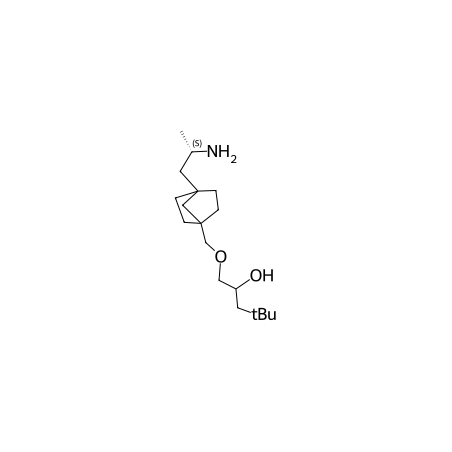 C[C@H](N)CC12CCC(COCC(O)CC(C)(C)C)(CC1)C2